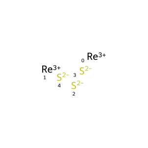 [Re+3].[Re+3].[S-2].[S-2].[S-2]